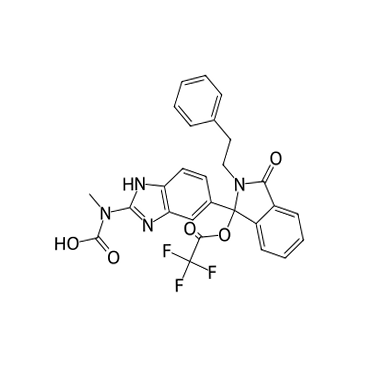 CN(C(=O)O)c1nc2cc(C3(OC(=O)C(F)(F)F)c4ccccc4C(=O)N3CCc3ccccc3)ccc2[nH]1